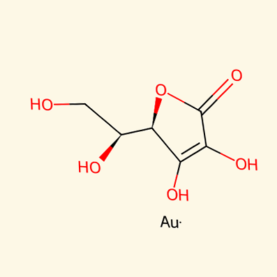 O=C1O[C@H]([C@@H](O)CO)C(O)=C1O.[Au]